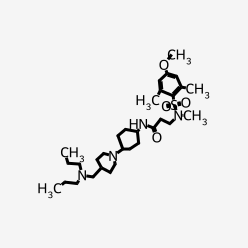 CCCN(CCC)CC1CCN(C2CCC(NC(=O)CCN(C)S(=O)(=O)c3c(C)cc(OC)cc3C)CC2)CC1